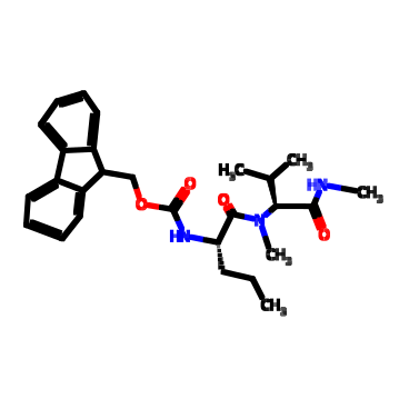 CCC[C@H](NC(=O)OCC1c2ccccc2-c2ccccc21)C(=O)N(C)[C@H](C(=O)NC)C(C)C